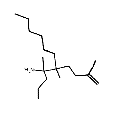 C=C(C)CCC(C)(CCCCCC)C(C)(N)CCC